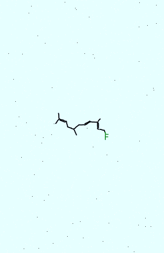 CC(C)=CCC(C)CC=CC(C)=CCF